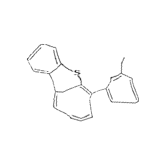 Cc1cccc(-c2cccc3c2sc2ccccc23)c1